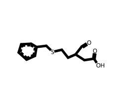 O=CC(CCSCc1ccccc1)CC(=O)O